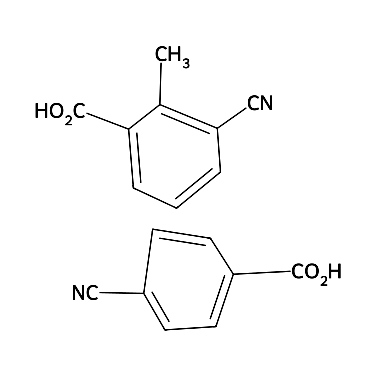 Cc1c(C#N)cccc1C(=O)O.N#Cc1ccc(C(=O)O)cc1